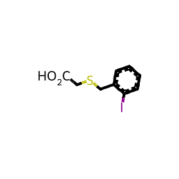 O=C(O)CSCc1ccccc1I